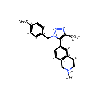 COc1ccc(Cn2nnc(C(=O)O)c2-c2ccc3c(c2)CCN(C(C)C)C3)cc1